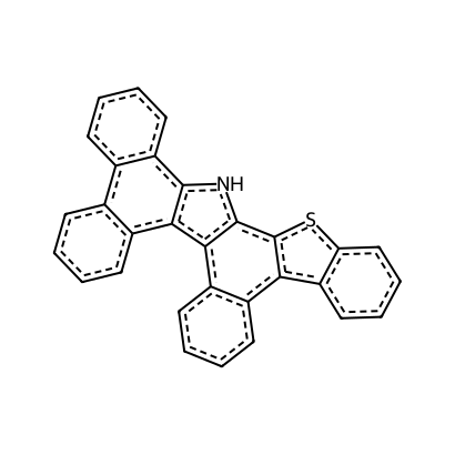 c1ccc2c(c1)sc1c3[nH]c4c5ccccc5c5ccccc5c4c3c3ccccc3c21